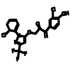 O=C(COc1cc(C(F)(F)F)nn1C1=CC=CCC1Cl)Nc1ccc(O)c(Cl)c1